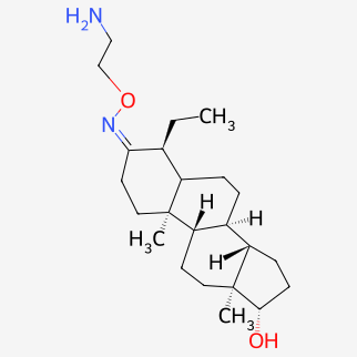 CC[C@@H]1/C(=N\OCCN)CC[C@@]2(C)C1CC[C@H]1[C@@H]3CC[C@H](O)[C@@]3(C)CC[C@@H]12